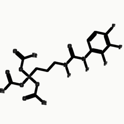 CCC(=O)O[Si](CCCN(F)C(=O)N(F)c1ccc(F)c(F)c1F)(OC(=O)CC)OC(=O)CC